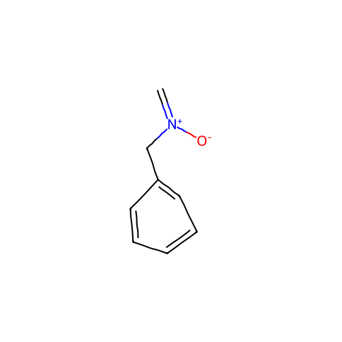 C=[N+]([O-])Cc1ccccc1